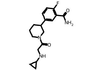 NC(=O)c1cc(C2CCCN(C(=O)CNC3CC3)C2)ccc1F